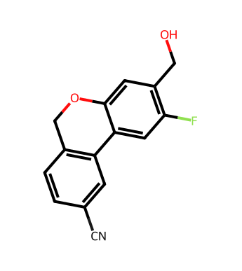 N#Cc1ccc2c(c1)-c1cc(F)c(CO)cc1OC2